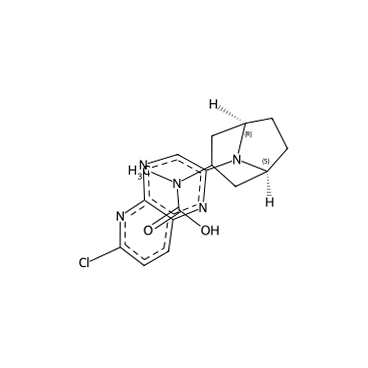 CN(C(=O)O)C1C[C@H]2CC[C@@H](C1)N2c1cnc2nc(Cl)ccc2n1